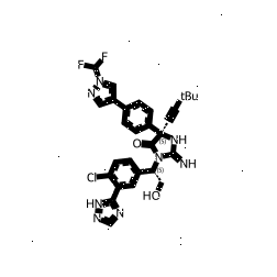 CC(C)(C)C#C[C@]1(c2ccc(-c3cnn(C(F)F)c3)cc2)NC(=N)N([C@H](CO)c2ccc(Cl)c(-c3ncn[nH]3)c2)C1=O